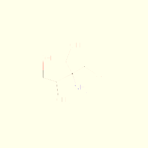 CC(CO)C(N)(CO)CO